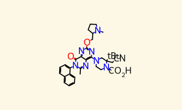 Cc1nc2c(N3CCN(C(=O)O)C(CC#N)(C(C)(C)C)C3)nc(OCC3CCCN3C)nc2c(=O)n1-c1cccc2ccccc12